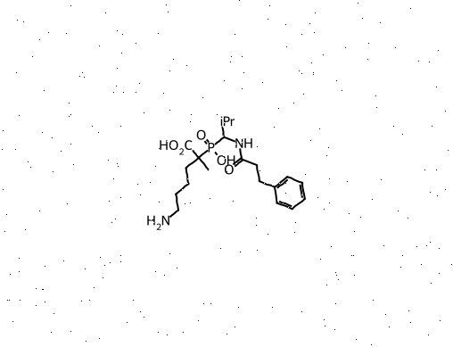 CC(C)C(NC(=O)CCc1ccccc1)P(=O)(O)C(C)(CCCCN)C(=O)O